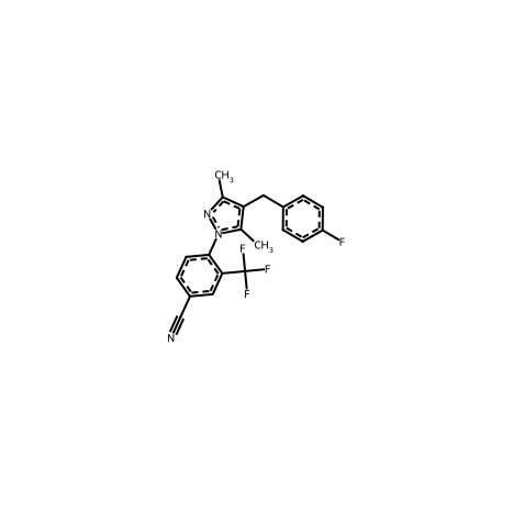 Cc1nn(-c2ccc(C#N)cc2C(F)(F)F)c(C)c1Cc1ccc(F)cc1